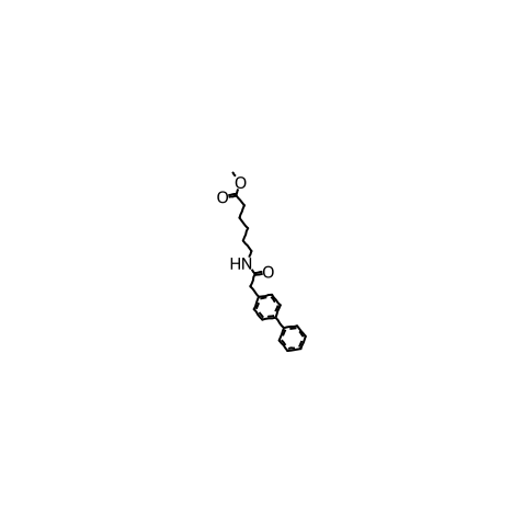 COC(=O)CCCCCNC(=O)Cc1ccc(-c2ccccc2)cc1